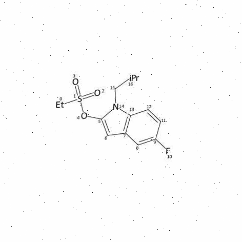 CCS(=O)(=O)Oc1cc2cc(F)ccc2n1CC(C)C